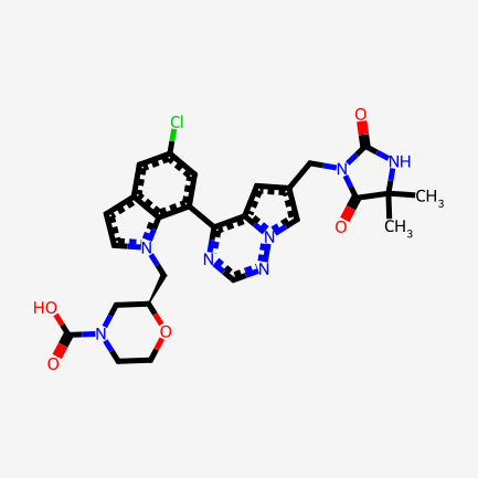 CC1(C)NC(=O)N(Cc2cc3c(-c4cc(Cl)cc5ccn(C[C@@H]6CN(C(=O)O)CCO6)c45)ncnn3c2)C1=O